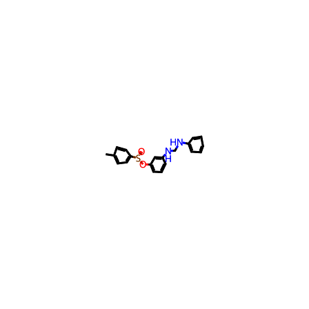 Cc1ccc(S(=O)Oc2cccc(NCNc3ccccc3)c2)cc1